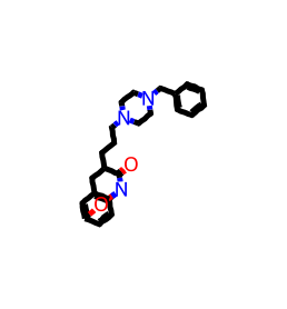 O=C1C(CCCN2CCN(Cc3ccccc3)CC2)Cc2cc3ccc2N1O3